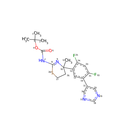 CC(C)(C)OC(=O)NC1=NC(C)(c2cc(-c3cncnc3)c(F)cc2F)CCS1